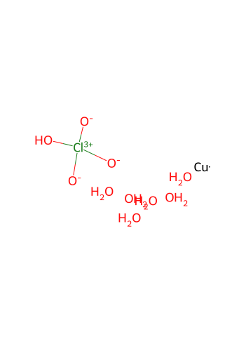 O.O.O.O.O.O.[Cu].[O-][Cl+3]([O-])([O-])O